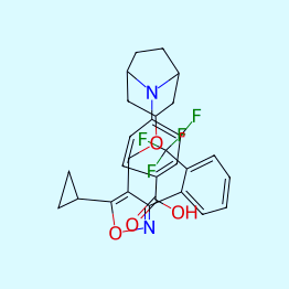 O=C(O)c1ccc(N2C3CCC2CC(OCc2c(-c4ccccc4C(F)(F)F)noc2C2CC2)C3)c(F)c1